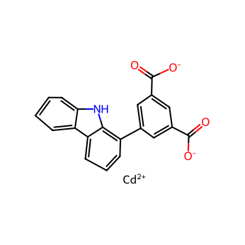 O=C([O-])c1cc(C(=O)[O-])cc(-c2cccc3c2[nH]c2ccccc23)c1.[Cd+2]